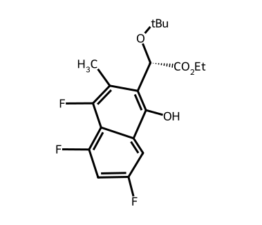 CCOC(=O)[C@@H](OC(C)(C)C)c1c(C)c(F)c2c(F)cc(F)cc2c1O